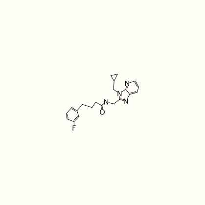 O=C(CCCc1cccc(F)c1)[N]Cc1nc2cccnc2n1CC1CC1